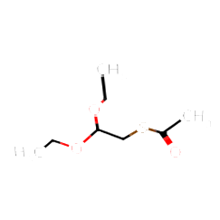 CCOC(CSC(C)=O)OCC